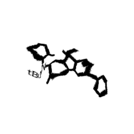 Cc1ccccc1N(c1cc2c(cc1C)-c1cc(-c3ccccc3)ccc1C2(C)C)C(C)(C)C